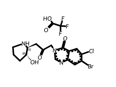 O=C(C[C@@H]1NCCC[C@H]1O)Cn1cnc2cc(Br)c(Cl)cc2c1=O.O=C(O)C(F)(F)F